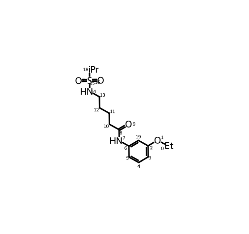 CCOc1cccc(NC(=O)CCCCNS(=O)(=O)C(C)C)c1